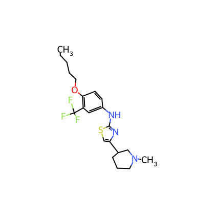 CCCCCOc1ccc(Nc2nc(C3CCCN(C)C3)cs2)cc1C(F)(F)F